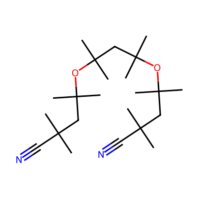 CC(C)(C#N)CC(C)(C)OC(C)(C)CC(C)(C)OC(C)(C)CC(C)(C)C#N